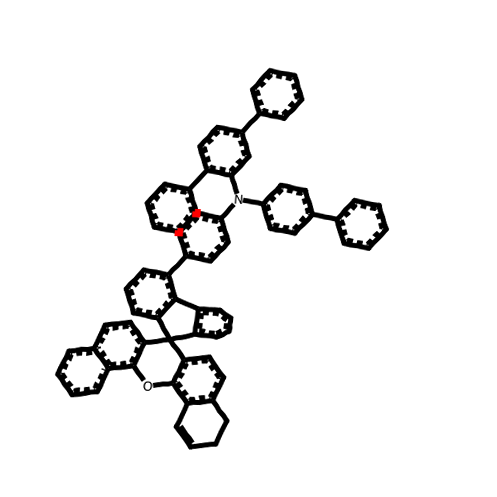 C1=Cc2c(ccc3c2Oc2c(ccc4ccccc24)C32c3ccccc3-c3c(-c4ccc(N(c5ccc(-c6ccccc6)cc5)c5cc(-c6ccccc6)ccc5-c5ccccc5)cc4)cccc32)CC1